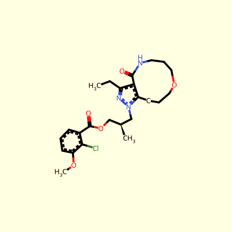 CCc1nn(C[C@@H](C)COC(=O)c2cccc(OC)c2Cl)c2c1C(=O)NCCCOCCC2